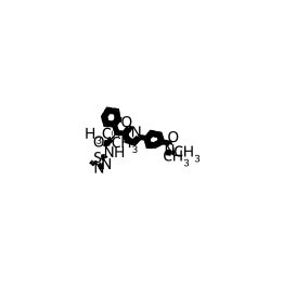 CN(C)C(=O)c1ccc(-c2ccc3c(n2)Oc2ccccc2[C@H]3C(C)(C)C(=O)Nc2nncs2)cc1